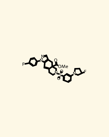 COC(=O)C12Cc3cnn(-c4ccc(F)cc4)c3C=C1CCN(S(=O)(=O)c1cccc(N3CCC(F)C3)c1)C2